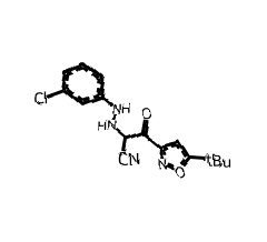 CC(C)(C)c1cc(C(=O)C(C#N)NNc2cccc(Cl)c2)no1